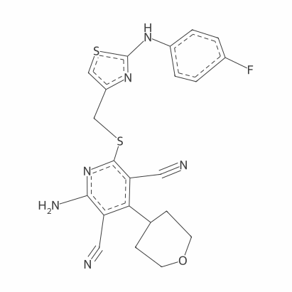 N#Cc1c(N)nc(SCc2csc(Nc3ccc(F)cc3)n2)c(C#N)c1C1CCOCC1